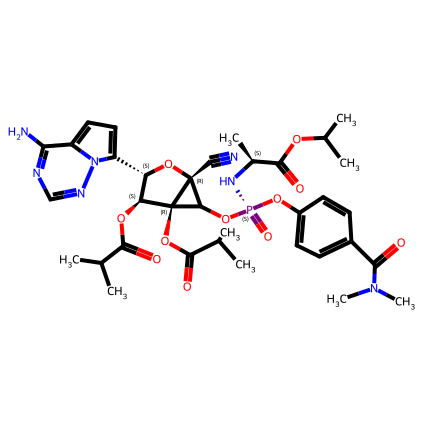 CC(C)OC(=O)[C@H](C)N[P@@](=O)(Oc1ccc(C(=O)N(C)C)cc1)OC1[C@@]2(C#N)O[C@@H](c3ccc4c(N)ncnn34)[C@H](OC(=O)C(C)C)[C@@]12OC(=O)C(C)C